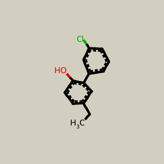 CCc1ccc(O)c(-c2cccc(Cl)c2)c1